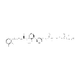 Cc1cccc(OCCCC(=O)N2CCCc3c(-c4cccc(COC(=O)NCCCC[C@@H](N)C(=O)O)c4)cccc32)c1C